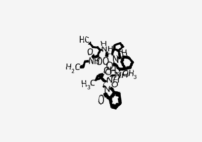 C#CCCC(NC(=O)[C@@H]1[C@H]2CCC[C@H]2CN1C(=O)[C@@H](NC(=O)N[C@H](CN1C(=O)c2ccccc2C1=O)C12C(C)C1C2C)C1(C)CCCCC1)C(=O)C(=O)NCC=C